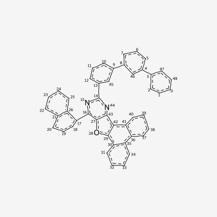 c1ccc(-c2cccc(-c3cccc(-c4nc(-c5cccc6ccccc56)c5oc6c7ccccc7c7ccccc7c6c5n4)c3)c2)cc1